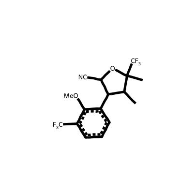 COc1c(C2C(C#N)OC(C)(C(F)(F)F)C2C)cccc1C(F)(F)F